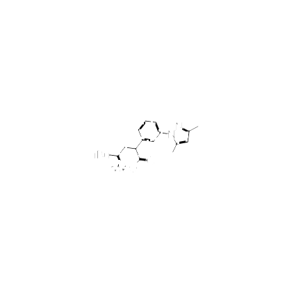 CCC(C)C(=O)CC(C(=O)OC)c1cccc(-n2nc(C)cc2C)c1